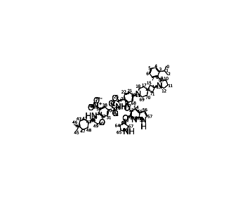 CC(C)c1ccccc1[C@H]1CCCN1C1CC2(CCN(c3ccc(C(=O)NS(=O)(=O)c4cc5c(c([N+](=O)[O-])c4)N[C@@H](C4CCC(C)(C)CC4)CO5)c(Oc4cc5cc[nH]c5nc4O[C@@H]4CCNC4)c3)CC2)C1